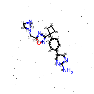 Nc1ncc(-c2ccc(C3(c4noc(Cn5ccnc5)n4)CCC3)cc2)cn1